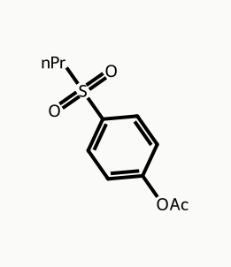 CCCS(=O)(=O)c1ccc(OC(C)=O)cc1